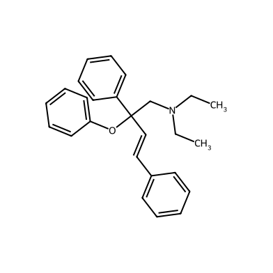 CCN(CC)CC(C=Cc1ccccc1)(Oc1ccccc1)c1ccccc1